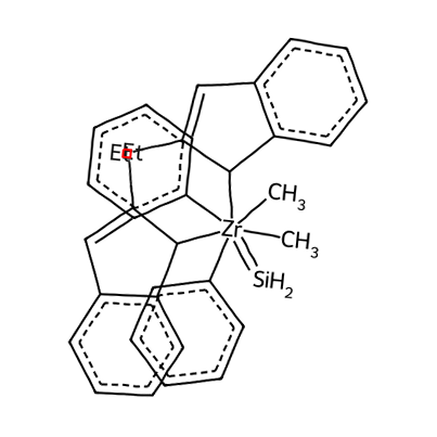 CCC1=Cc2ccccc2[CH]1[Zr]([CH3])([CH3])(=[SiH2])([c]1ccccc1)([c]1ccccc1)[CH]1C(CC)=Cc2ccccc21